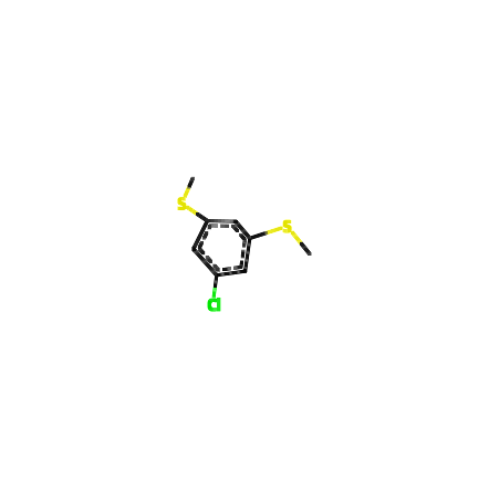 CSc1cc(Cl)cc(SC)c1